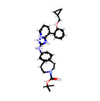 CC(C)(C)OC(=O)N1CCc2ccc(Nc3nc4c(-c5ccccc5OCC5CC5)cccn4n3)cc2CC1